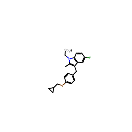 Cc1c(Cc2ccc(SCC3CC3)cc2)c2cc(F)ccc2n1CC(=O)O